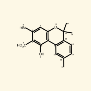 CCCCc1cc2c(c(O)c1C(=O)O)-c1cc(C)ccc1C(C)(C)O2